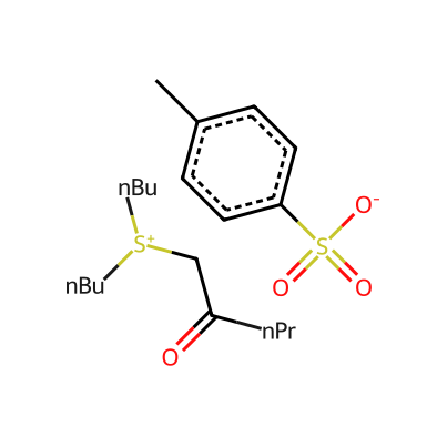 CCCC[S+](CCCC)CC(=O)CCC.Cc1ccc(S(=O)(=O)[O-])cc1